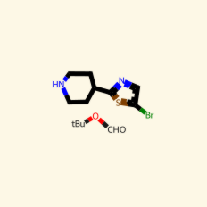 Brc1cnc(C2CCNCC2)s1.CC(C)(C)OC=O